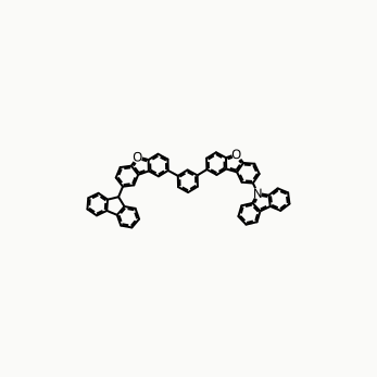 c1cc(-c2ccc3oc4ccc(C5c6ccccc6-c6ccccc65)cc4c3c2)cc(-c2ccc3oc4ccc(-n5c6ccccc6c6ccccc65)cc4c3c2)c1